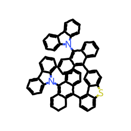 C1=Cc2c(c(-c3cccc4sc5ccc(-c6c7ccccc7c(-n7c8ccccc8c8ccccc87)c7ccccc67)cc5c34)c3ccccc3c2-n2c3ccccc3c3ccccc32)CC1